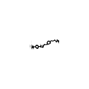 c1cn(CCCc2ccc(OCc3coc(-c4ccc(-c5nnn[nH]5)cc4)n3)cc2)cn1